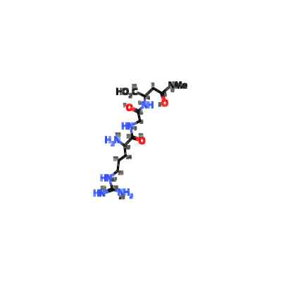 CNC(=O)CC(NC(=O)CNC(=O)C(N)CCCNC(=N)N)C(=O)O